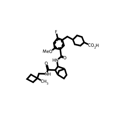 COc1cc(F)c(CC2CCC(C(=O)O)CC2)cc1C(=O)NC1C2CCC(C2)C1C(=O)NCC1(C)CCC1